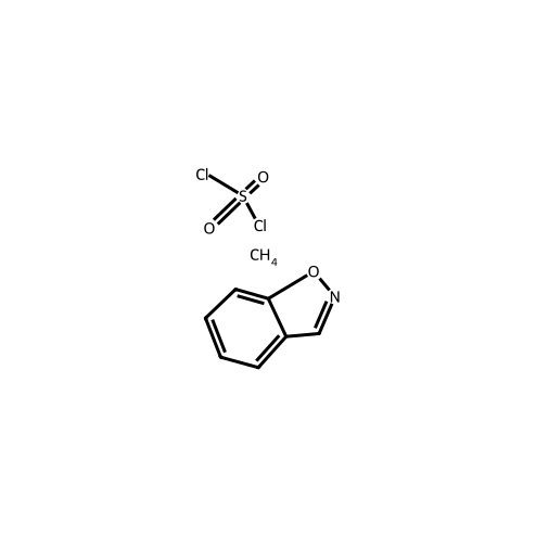 C.O=S(=O)(Cl)Cl.c1ccc2oncc2c1